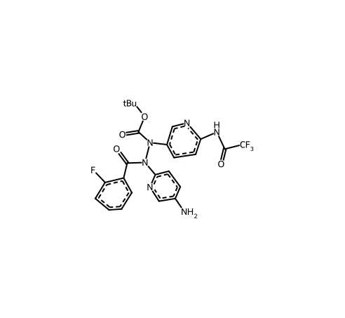 CC(C)(C)OC(=O)N(c1ccc(NC(=O)C(F)(F)F)nc1)N(C(=O)c1ccccc1F)c1ccc(N)cn1